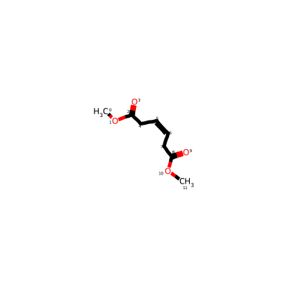 COC(=O)C/C=C\CC(=O)OC